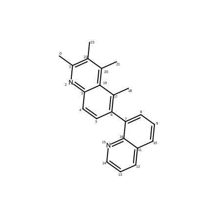 Cc1nc2ccc(-c3cccc4cccnc34)c(C)c2c(C)c1C